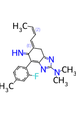 C/C=C\C=C1/CC2=NC(N(C)C)=NC2=C(c2ccc(C)cc2F)C1=N